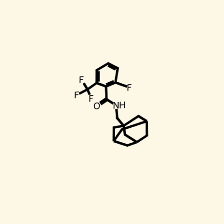 O=C(NCC12CC3CC(CC(C3)C1)C2)c1c(F)cccc1C(F)(F)F